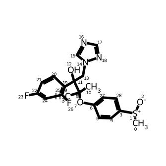 C[S+]([O-])c1ccc(OC(C)(C)C(O)(Cn2cncn2)c2ccc(F)cc2F)cc1